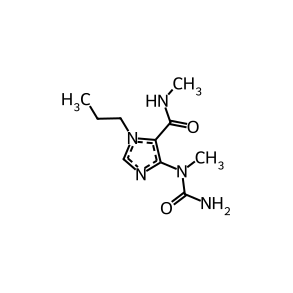 CCCn1cnc(N(C)C(N)=O)c1C(=O)NC